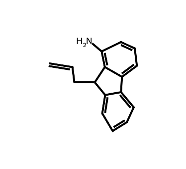 C=CCC1c2ccccc2-c2cccc(N)c21